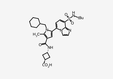 Cc1c(C(=O)N[C@H]2C[C@H](C(=O)O)C2)cc(-c2ccc(S(=O)(=O)NC(C)(C)C)c3nccn23)n1CC1CCCCC1